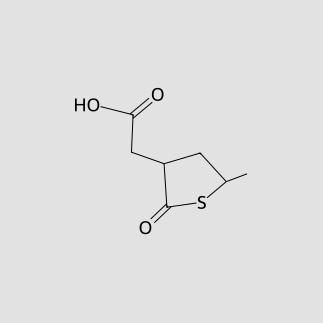 CC1CC(CC(=O)O)C(=O)S1